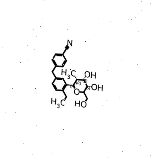 CCc1ccc(Cc2ccc(C#N)cc2)cc1[C@@H]1OC(CO)[C@@H](O)[C@H](O)[C@H]1C